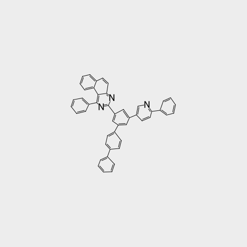 c1ccc(-c2ccc(-c3cc(-c4ccc(-c5ccccc5)nc4)cc(-c4nc(-c5ccccc5)c5c(ccc6ccccc65)n4)c3)cc2)cc1